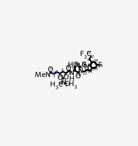 CNC(=O)/C=C/CCC(OC(=O)N(C)C)C(=O)Nc1cncn(Cc2cc3cc(F)cc(CCC(F)(F)F)c3n2C(=O)O)c1=O